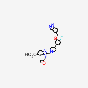 Cn1ncc2cc(COc3cc(C4CCN(Cc5nc6ccc(C(=O)O)cc6n5CC5CCO5)CC4)ccc3F)ccc21